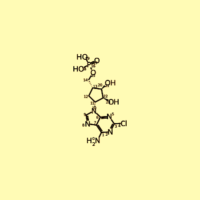 Nc1nc(Cl)nc2c1ncn2[C@@H]1C[C@H](COP(=O)(O)O)[C@@H](O)[C@H]1O